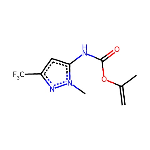 C=C(C)OC(=O)Nc1cc(C(F)(F)F)nn1C